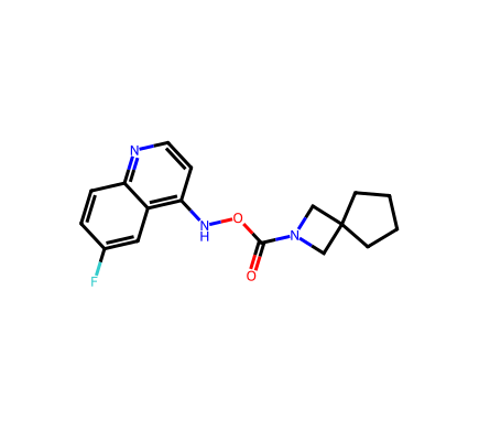 O=C(ONc1ccnc2ccc(F)cc12)N1CC2(CCCC2)C1